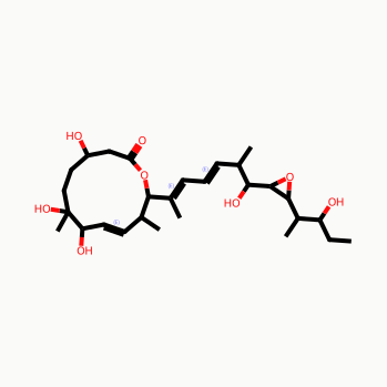 CCC(O)C(C)C1OC1C(O)C(C)/C=C/C=C(\C)C1OC(=O)CC(O)CCC(C)(O)C(O)/C=C/C1C